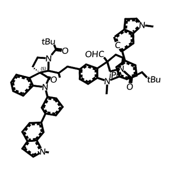 CC(C)C1N(C(=O)CC(C)(C)C)CCC1(C=O)c1cc(CC(C)C2N(C(=O)C(C)(C)C)CC[C@@]23C(=O)N(c2cccc(-c4ccc5ccn(C)c5c4)c2)c2ccccc23)ccc1N(C)c1cccc(-c2ccc3ccn(C)c3c2)c1